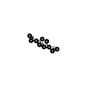 c1ccc(-n2c3ccc(-c4cccc5c4oc4ccccc45)cc3c3ccc4c5ccc6c7cc(-c8cccc9c8oc8ccccc89)ccc7n(-c7ccccc7)c6c5sc4c32)cc1